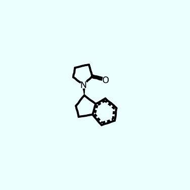 O=C1CCCN1[C@@H]1CCc2ccccc21